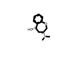 CN(C)[C@H]1COc2ccccc2[C@@H](O)C1